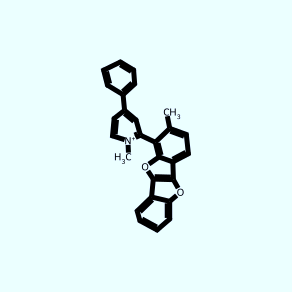 Cc1ccc2c(oc3c4ccccc4oc23)c1-c1cc(-c2ccccc2)cc[n+]1C